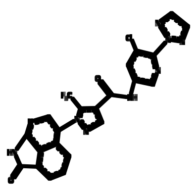 O=C(Nc1cnc(-n2nccn2)c(Cl)c1)c1cnn(-c2cnc3c4c(cccc24)C(=O)N3)c1C(F)(F)F